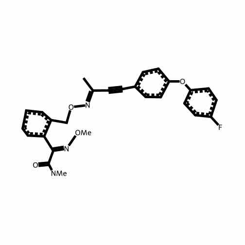 CNC(=O)/C(=N/OC)c1ccccc1CO/N=C(\C)C#Cc1ccc(Oc2ccc(F)cc2)cc1